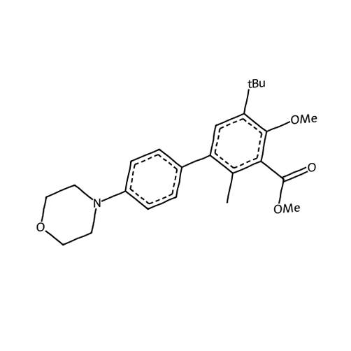 COC(=O)c1c(C)c(-c2ccc(N3CCOCC3)cc2)cc(C(C)(C)C)c1OC